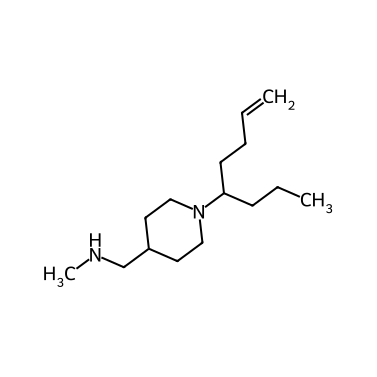 C=CCCC(CCC)N1CCC(CNC)CC1